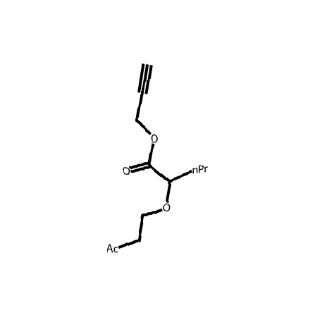 C#CCOC(=O)C(CCC)OCCC(C)=O